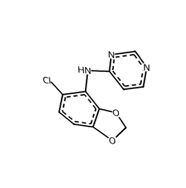 Clc1ccc2c(c1Nc1ccncn1)OCO2